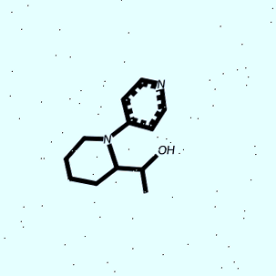 CC(O)C1CCCCN1c1ccncc1